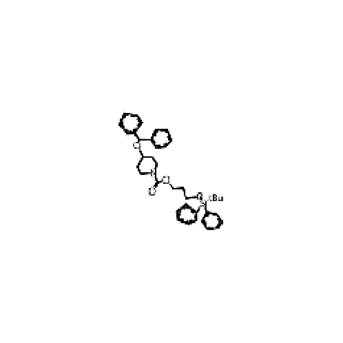 CC(C)(C)[Si](OCCCOC(=O)N1CCC(OC(c2ccccc2)c2ccccc2)CC1)(c1ccccc1)c1ccccc1